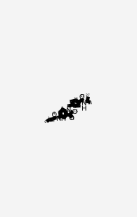 C/C=C/C(=O)Nc1ccc2c(c1)C(=O)C(=O)N2Cc1ccc(C(=O)NC(C)C)cc1